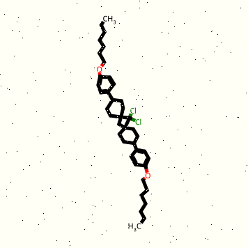 CCCCCCCOc1ccc(C2CCC3(CC2)CC2(CCC(c4ccc(OCCCCCCC)cc4)CC2)C3(Cl)Cl)cc1